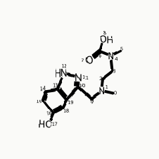 CN(CCN(C)C(=O)O)Cc1n[nH]c2ccc(O)cc12